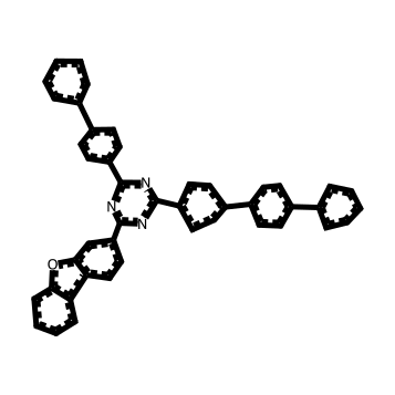 c1ccc(-c2ccc(-c3ccc(-c4nc(-c5ccc(-c6ccccc6)cc5)nc(-c5ccc6c(c5)oc5ccccc56)n4)cc3)cc2)cc1